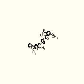 COc1cc([C@H](C)C(=O)N2CC[C@]3(CCc4cc(-c5ncccn5)c(C)nc4N)CC23)c(C(F)F)cn1